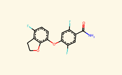 NC(=O)c1cc(F)c(Oc2ccc(F)c3c2OCC3)cc1F